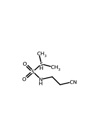 C[SH](C)S(=O)(=O)NCCC#N